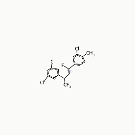 Cc1ccc(/C(F)=C/C(c2cc(Cl)cc(Cl)c2)C(F)(F)F)cc1Cl